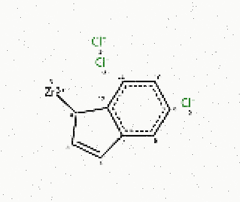 [Cl-].[Cl-].[Cl-].[Zr+3][CH]1C=Cc2ccccc21